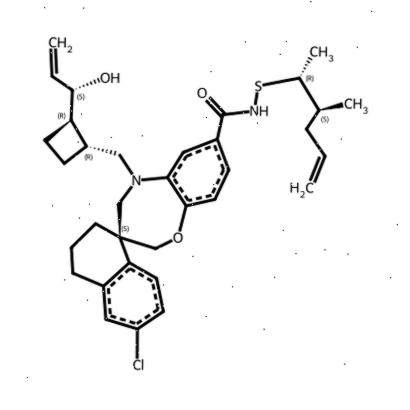 C=CC[C@H](C)[C@@H](C)SNC(=O)c1ccc2c(c1)N(C[C@@H]1CC[C@H]1[C@@H](O)C=C)C[C@@]1(CCCc3cc(Cl)ccc31)CO2